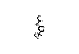 CC1(c2cccc(NC(=O)CBr)c2)OCCO1